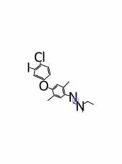 CCN(C)/C=N/c1cc(C)c(Oc2ccc(Cl)c(I)c2)cc1C